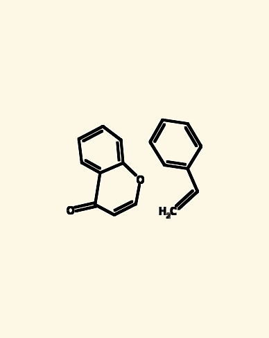 C=Cc1ccccc1.O=c1ccoc2ccccc12